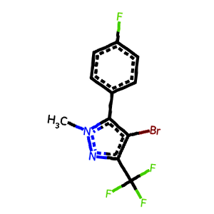 Cn1nc(C(F)(F)F)c(Br)c1-c1ccc(F)cc1